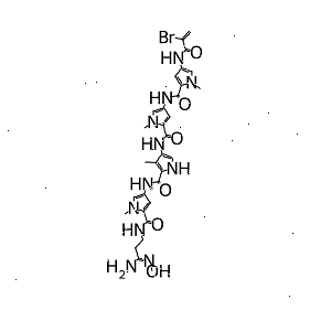 C=C(Br)C(=O)Nc1cc(C(=O)Nc2cc(C(=O)Nc3c[nH]c(C(=O)Nc4cc(C(=O)NCCC(N)=NO)n(C)c4)c3C)n(C)c2)n(C)c1